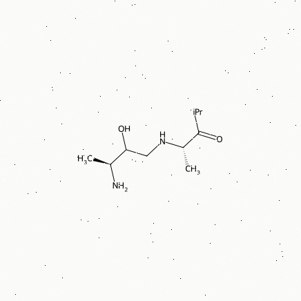 CC(C)C(=O)[C@H](C)NCC(O)[C@H](C)N